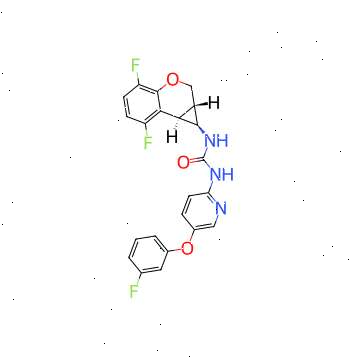 O=C(Nc1ccc(Oc2cccc(F)c2)cn1)N[C@@H]1[C@H]2COc3c(F)ccc(F)c3[C@@H]21